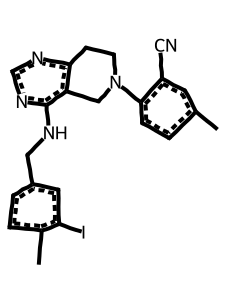 Cc1ccc(N2CCc3ncnc(NCc4ccc(C)c(I)c4)c3C2)c(C#N)c1